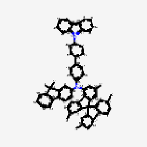 Cc1ccc2c(c1)C1(c3cc(C)ccc3-2)c2cc(C)ccc2-c2c(N(c3ccc(-c4ccc(-n5c6ccccc6c6ccccc65)cc4)cc3)c3ccc4c(c3)C(C)(C)c3ccccc3-4)cc(C)cc21